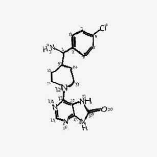 NC(c1ccc(Cl)cc1)C1CCN(c2ncnc3[nH]c(=O)[nH]c23)CC1